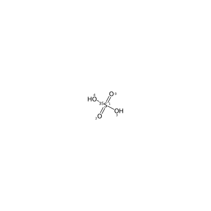 O=[35S](=O)(O)O